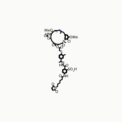 COc1cc2cc(c1Cl)N(C)C(=O)C[C@H](OC(=O)CSc1ccc(/C(C)=N/NC(=O)c3ccc(NC(=O)CCCCCN4C(=O)C=CC4=O)cc3S(=O)(=O)O)cc1C)C1(C)OC1CC1CC(NC(=O)O1)[C@H](OC)/C=C/C=C(\C)C2